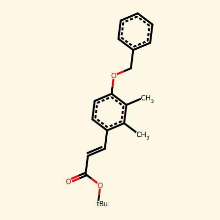 Cc1c(C=CC(=O)OC(C)(C)C)ccc(OCc2ccccc2)c1C